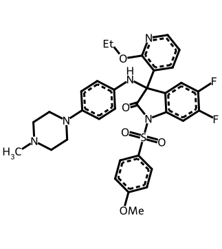 CCOc1ncccc1C1(Nc2ccc(N3CCN(C)CC3)cc2)C(=O)N(S(=O)(=O)c2ccc(OC)cc2)c2cc(F)c(F)cc21